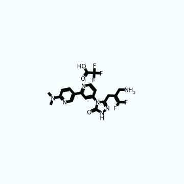 CN(C)c1ccc(-c2cc(-n3c(CC(CN)=C(F)F)n[nH]c3=O)ccn2)cn1.O=C(O)C(F)(F)F